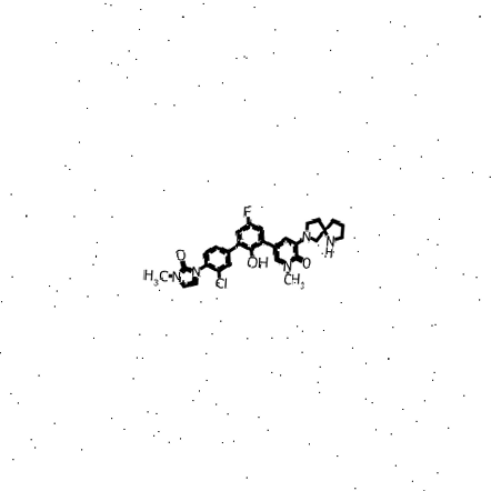 Cn1cc(-c2cc(F)cc(-c3ccc(-n4ccn(C)c4=O)c(Cl)c3)c2O)cc(N2CCC3(CCCN3)C2)c1=O